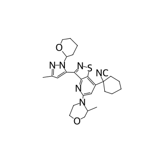 Cc1cc(-c2nsc3c(C4(C#N)CCCCC4)cc(N4CCOCC4C)nc23)n(C2CCCCO2)n1